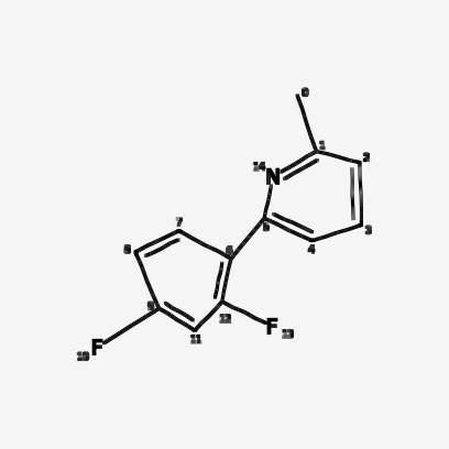 Cc1cccc(-c2ccc(F)cc2F)n1